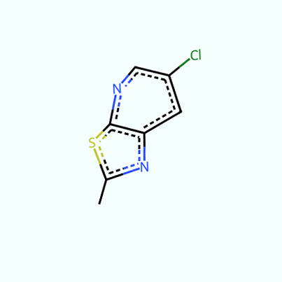 Cc1nc2cc(Cl)cnc2s1